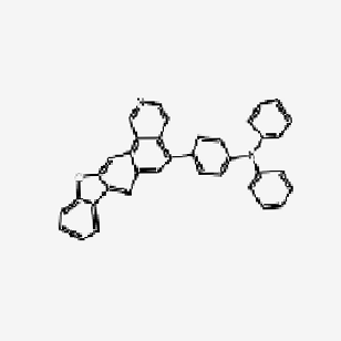 c1ccc(N(c2ccccc2)c2ccc(-c3cc4cc5c(cc4c4cnccc34)oc3ccccc35)cc2)cc1